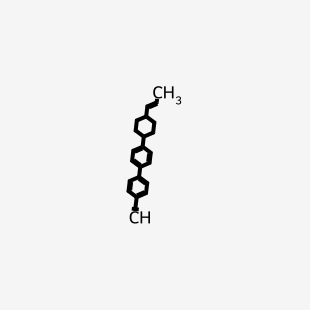 C#Cc1ccc(-c2ccc(C3CCC(C=CC)CC3)cc2)cc1